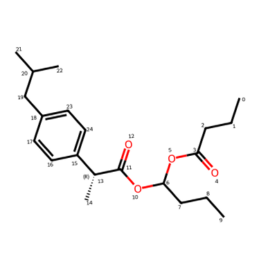 CCCC(=O)OC(CCC)OC(=O)[C@H](C)c1ccc(CC(C)C)cc1